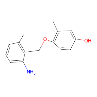 Cc1cc(O)ccc1OCc1c(C)cccc1N